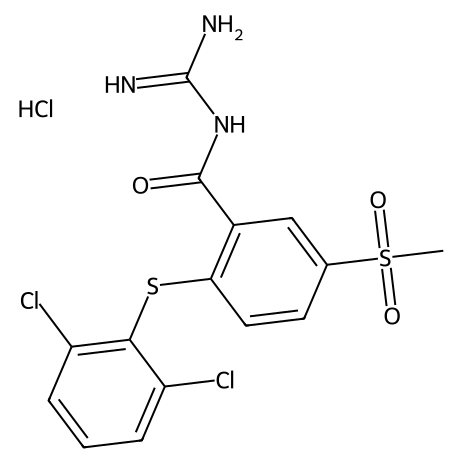 CS(=O)(=O)c1ccc(Sc2c(Cl)cccc2Cl)c(C(=O)NC(=N)N)c1.Cl